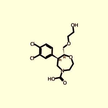 O=C(O)N1CCO[C@@H](COCCO)[C@H](c2ccc(Cl)c(Cl)c2)C1